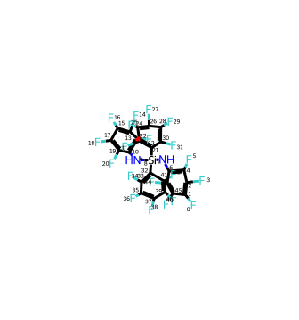 Fc1c(F)c(F)c(N[Si](Nc2c(F)c(F)c(F)c(F)c2F)(c2c(F)c(F)c(F)c(F)c2F)c2c(F)c(F)c(F)c(F)c2F)c(F)c1F